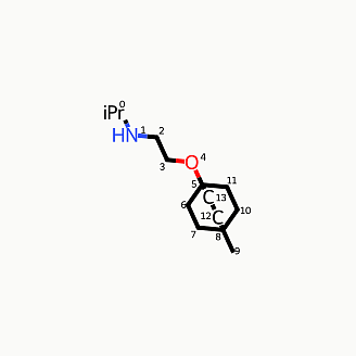 CC(C)NCCOC12CCC(C)(CC1)CC2